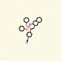 N#Cc1ccc(C2=Cc3cc4ccccc4cc3N=P2(Oc2ccccc2)Oc2ccccc2)cc1